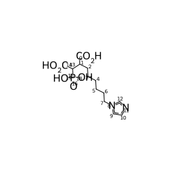 O=C(O)C(CCCCCCn1ccnc1)C(C(=O)O)P(=O)(O)O